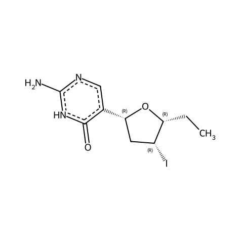 CC[C@H]1O[C@@H](c2cnc(N)[nH]c2=O)C[C@H]1I